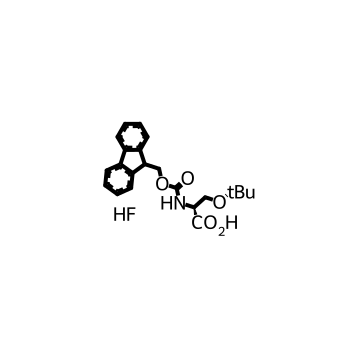 CC(C)(C)OC[C@H](NC(=O)OCC1c2ccccc2-c2ccccc21)C(=O)O.F